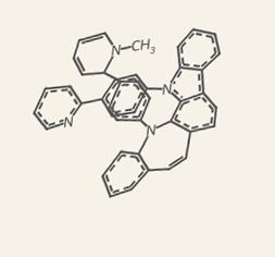 CN1C=CC=CC1c1ccc(N2c3ccccc3C=Cc3ccc4c5ccccc5n(-c5ccc(-c6ccccn6)cc5)c4c32)cc1